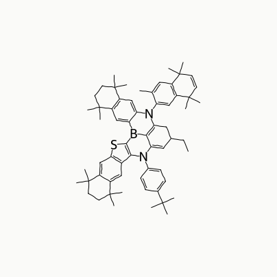 CCC1C=C2C3=C(C1)N(c1cc4c(cc1C)C(C)(C)C=CC4(C)C)c1cc4c(cc1B3c1sc3cc5c(cc3c1N2c1ccc(C(C)(C)C)cc1)C(C)(C)CCC5(C)C)C(C)(C)CCC4(C)C